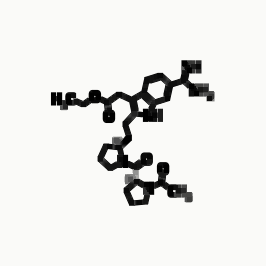 CCOC(=O)Cc1c(CC[C@@H]2CCCN2C(=O)[C@H]2CCCN2C(C)=O)[nH]c2cc(C(=N)N)ccc12